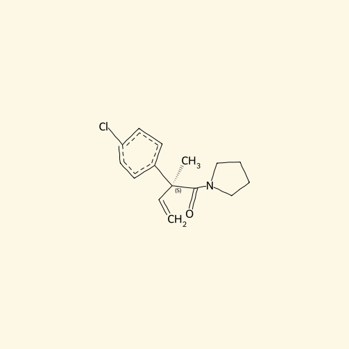 C=C[C@](C)(C(=O)N1CCCC1)c1ccc(Cl)cc1